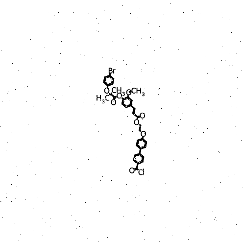 COc1cc(C=CC(=O)OCCOc2ccc(-c3ccc(C(=O)Cl)cc3)cc2)ccc1OC(=O)C(C)(C)Oc1ccc(Br)cc1